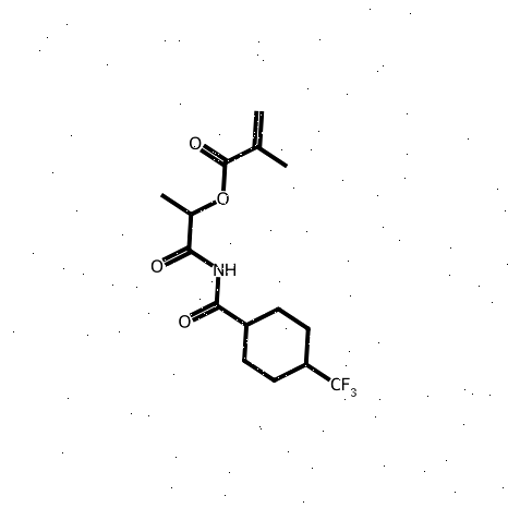 C=C(C)C(=O)OC(C)C(=O)NC(=O)C1CCC(C(F)(F)F)CC1